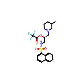 CC1CCCN(C[C@@H](CNS(=O)(=O)c2cccc3ccccc23)OC(=O)C(F)(F)F)C1